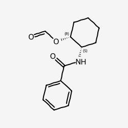 O=CO[C@@H]1CCCC[C@@H]1NC(=O)c1ccccc1